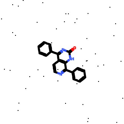 O=c1nc(-c2ccccc2)c2ccnc(-c3ccccc3)c2[nH]1